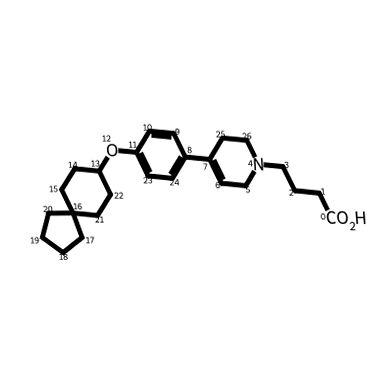 O=C(O)CCCN1CC=C(c2ccc(OC3CCC4(CCCC4)CC3)cc2)CC1